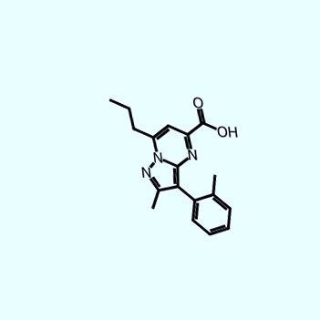 CCCc1cc(C(=O)O)nc2c(-c3ccccc3C)c(C)nn12